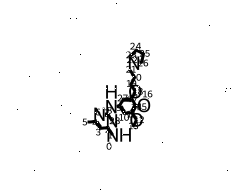 CNc1cc(C)nc(Nc2cc(OC)c(OC)c(OCCCN3CCCC3)c2)n1